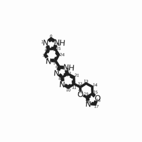 c1nc2cnc(-c3nc4ncc(C5CCc6ocnc6O5)cc4[nH]3)cc2[nH]1